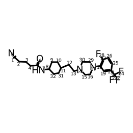 N#CCCCC(=O)NC1CCC(CCN2CCN(c3cc(C(F)(F)F)ccc3F)CC2)CC1